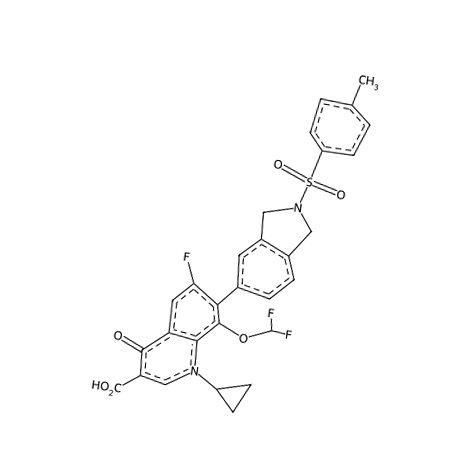 Cc1ccc(S(=O)(=O)N2Cc3ccc(-c4c(F)cc5c(=O)c(C(=O)O)cn(C6CC6)c5c4OC(F)F)cc3C2)cc1